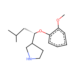 COc1ccccc1O[C@@H](CC(C)C)C1CCNC1